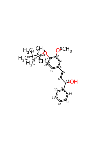 COc1cc(C=CC(O)c2ccccc2)ccc1O[Si](C)(C)C(C)(C)C